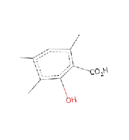 Cc1cc(C)c(C(=O)O)c(O)c1C